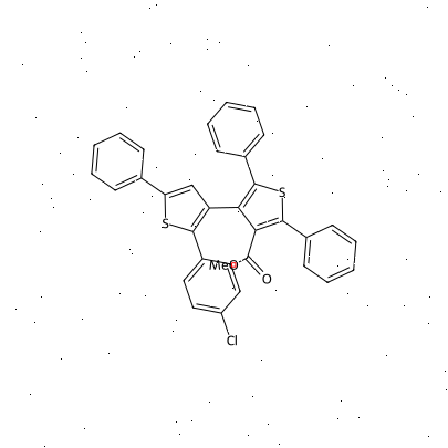 COC(=O)c1c(-c2ccccc2)sc(-c2ccccc2)c1-c1cc(-c2ccccc2)sc1-c1ccc(Cl)cc1